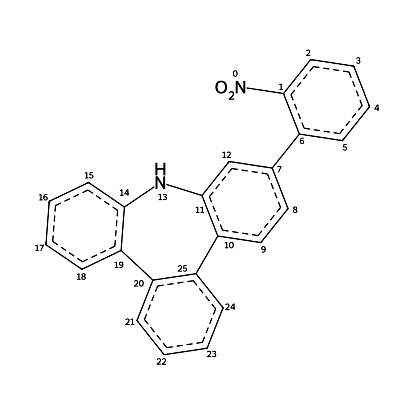 O=[N+]([O-])c1ccccc1-c1ccc2c(c1)Nc1ccccc1-c1ccccc1-2